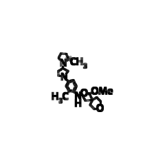 COC(=O)C1(CCNc2ccc(N3CCC(N4CCC[C@@H]4C)C3)cc2C)CCOCC1